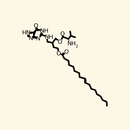 CCCCCCCCC=CCCCCCCCC(=O)OCCC(CNc1nc2nc[nH]c2c(=O)[nH]1)COC(=O)[C@@H](N)C(C)C